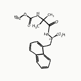 CC(C)(C)OC(=O)NC(C)(C)C(=O)N[C@H](Cc1cccc2ccccc12)C(=O)O